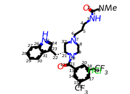 CNC(=O)NCCCN1CCN(C(=O)c2cc(C(F)(F)F)cc(C(F)(F)F)c2)[C@H](Cc2c[nH]c3ccccc23)C1.Cl